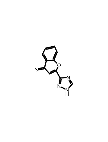 S=c1cc(-c2nc[nH]n2)oc2ccccc12